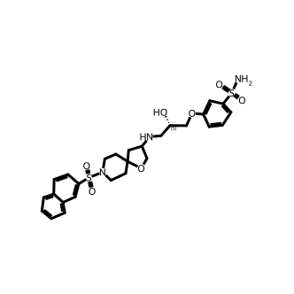 NS(=O)(=O)c1cccc(OC[C@@H](O)CNC2COC3(CCN(S(=O)(=O)c4ccc5ccccc5c4)CC3)C2)c1